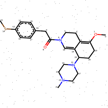 COC1=C2CCN(C(=O)Cc3ccc(SC)cc3)C=C2C(N2CCN(C)CC2)CC1